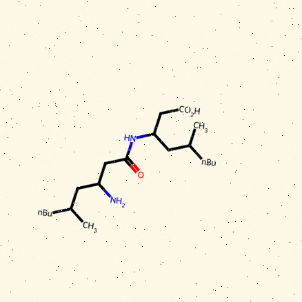 CCCCC(C)CC(N)CC(=O)NC(CC(=O)O)CC(C)CCCC